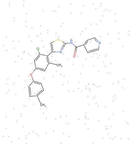 Cc1ccc(Oc2cc(C)c(-c3csc(NC(=O)c4ccncc4)n3)c(Cl)c2)cc1